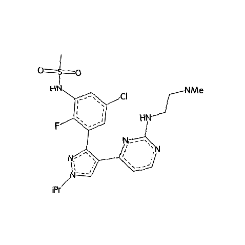 CNCCNc1nccc(-c2cn(C(C)C)nc2-c2cc(Cl)cc(NS(C)(=O)=O)c2F)n1